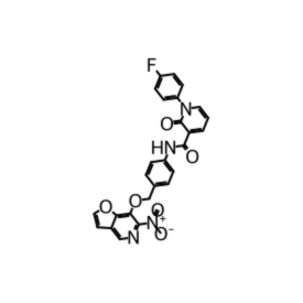 O=C(Nc1ccc(COc2c([N+](=O)[O-])ncc3ccoc23)cc1)c1cccn(-c2ccc(F)cc2)c1=O